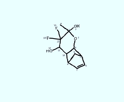 CC1(O)OC2C3C=CC(C3)C2C(O)C1(F)F